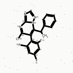 CC(c1ccccc1)c1c(-c2c(F)cc(F)cc2F)c(Cl)nc2ncnn12